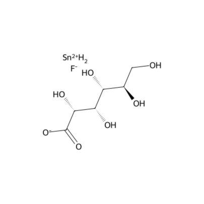 O=C([O-])[C@H](O)[C@@H](O)[C@H](O)[C@H](O)CO.[F-].[SnH2+2]